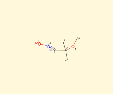 COC(C)(C)/C=N/O